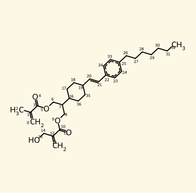 C=C(C)C(=O)OCC(COC(=O)C(=C)CO)C1CCC(/C=C/c2ccc(CCCCCCC)cc2)CC1